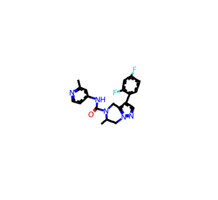 Cc1cc(NC(=O)N2Cc3c(-c4ccc(F)cc4F)cnn3CC2C)ccn1